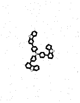 c1ccc2c(c1)oc1ccc(-c3ccc(N(c4ccc(-c5cccc6oc7ccccc7c56)cc4)c4ccc(-c5cccc6oc7ccccc7c56)cc4)cc3)cc12